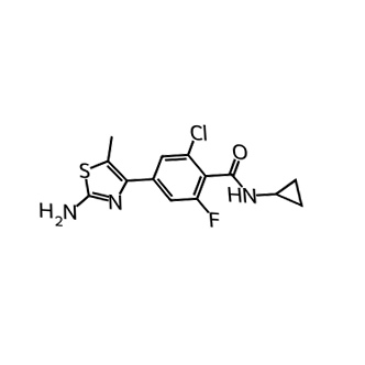 Cc1sc(N)nc1-c1cc(F)c(C(=O)NC2CC2)c(Cl)c1